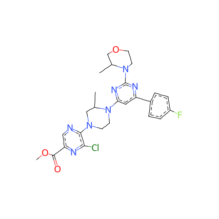 COC(=O)c1cnc(N2CCN(c3cc(-c4ccc(F)cc4)nc(N4CCOCC4C)n3)C(C)C2)c(Cl)n1